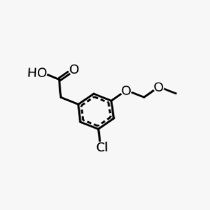 COCOc1cc(Cl)cc(CC(=O)O)c1